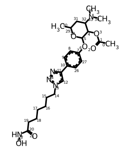 CC(=O)OC1C(Oc2ccc(-c3cn(CCCCCCC(=O)NO)nn3)cc2)OC(C)CC1N(C)C